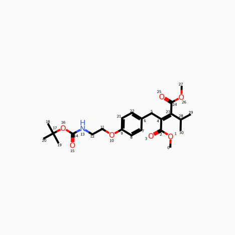 COC(=O)C(Cc1ccc(OCCNC(=O)OC(C)(C)C)cc1)=C(C(=O)OC)C(C)C